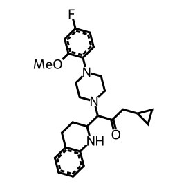 COc1cc(F)ccc1N1CCN(C(C(=O)CC2CC2)C2CCc3ccccc3N2)CC1